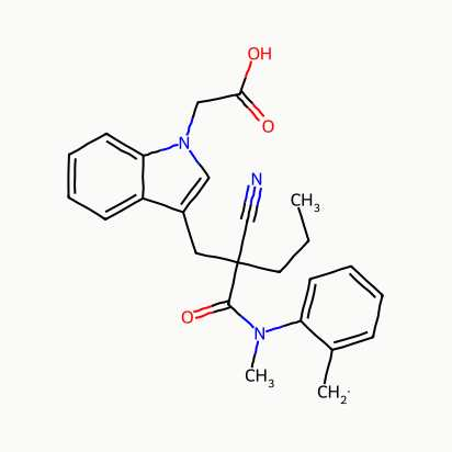 [CH2]c1ccccc1N(C)C(=O)C(C#N)(CCC)Cc1cn(CC(=O)O)c2ccccc12